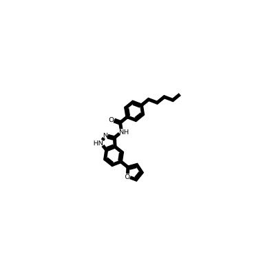 CCCCCc1ccc(C(=O)Nc2n[nH]c3ccc(-c4ccco4)cc23)cc1